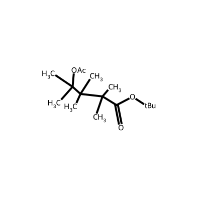 CC(=O)OC(C)(C)C(C)(C)C(C)(C)C(=O)OC(C)(C)C